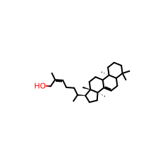 C/C(=C/CCC(C)[C@@H]1CC[C@]2(C)C3=CCC4C(C)(C)CCC[C@]4(C)C3CC[C@@]12C)CO